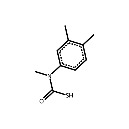 Cc1ccc(N(C)C(=O)S)cc1C